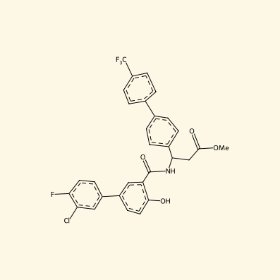 COC(=O)CC(NC(=O)c1cc(-c2ccc(F)c(Cl)c2)ccc1O)c1ccc(-c2ccc(C(F)(F)F)cc2)cc1